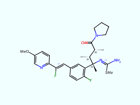 COc1ccc(/C(F)=C/c2ccc(F)c([C@@](C)(/N=C(/N)SC)[C@H](C)[C@@H](C)C(=O)N3CCCC3)c2)nc1